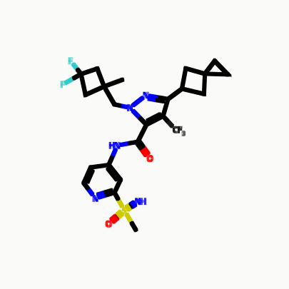 CC1(Cn2nc(C3CC4(CC4)C3)c(C(F)(F)F)c2C(=O)Nc2ccnc(S(C)(=N)=O)c2)CC(F)(F)C1